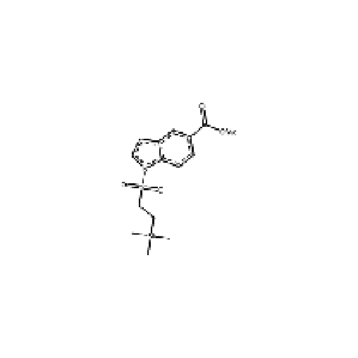 COC(=O)c1ccc2c(ccn2S(=O)(=O)CC[Si](C)(C)C)c1